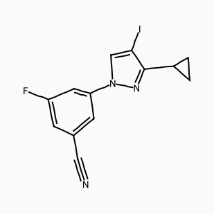 N#Cc1cc(F)cc(-n2cc(I)c(C3CC3)n2)c1